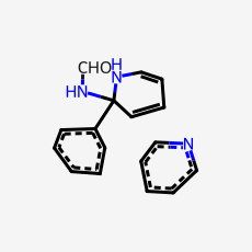 O=CNC1(c2ccccc2)C=CC=CN1.c1ccncc1